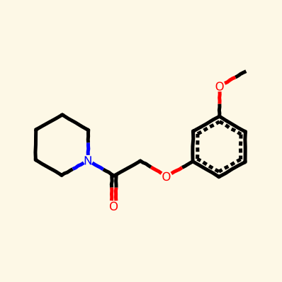 COc1cccc(OCC(=O)N2CCCCC2)c1